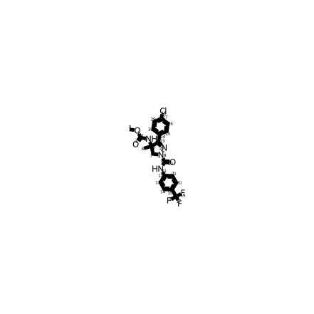 COC(=O)NC1(C)CN(C(=O)Nc2ccc(C(F)(F)F)cc2)N=C1c1ccc(Cl)cc1